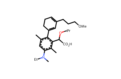 CCN(C)c1cc(C)c(C2=CC(CCCOC)=CCC2)c(C(OC(C)C)C(=O)O)c1C